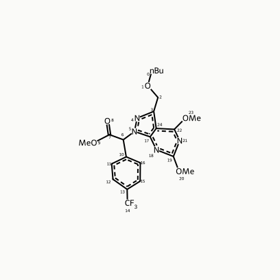 CCCCOCc1nn(C(C(=O)OC)c2ccc(C(F)(F)F)cc2)c2nc(OC)nc(OC)c12